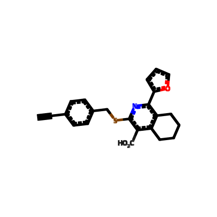 C#Cc1ccc(CSc2nc(-c3ccco3)c3c(c2C(=O)O)CCCC3)cc1